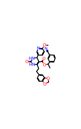 COc1ccc(C2NC(=O)NC(CCc3ccc4c(c3)OCO4)=C2C(=O)OC(C)c2cccc(C#N)c2)cn1